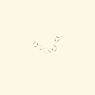 CC1CN(C(=O)Nc2cccnc2)CCC1=Cc1cccc(Oc2ccc(Br)cn2)c1